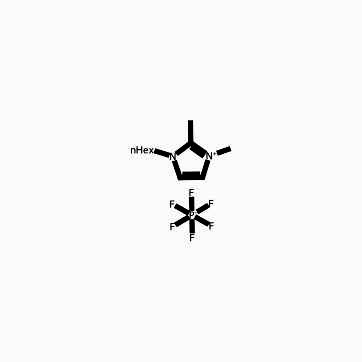 CCCCCCn1cc[n+](C)c1C.F[P-](F)(F)(F)(F)F